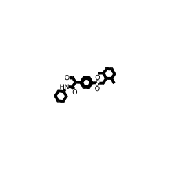 CC1CCCC(C)C1CS(=O)(=O)c1ccc(C(C=O)C(=O)NC2CCCCC2)cc1